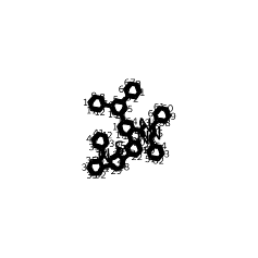 c1ccc(-c2cc(-c3ccccc3)cc(-c3ccc(-c4cccc5c4sc4c5ccc5c6ccccc6n(-c6ccccc6)c54)c(-c4nc(-c5ccccc5)nc(-c5ccccc5)n4)c3)c2)cc1